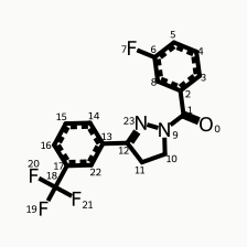 O=C(c1cccc(F)c1)N1CCC(c2cccc(C(F)(F)F)c2)=N1